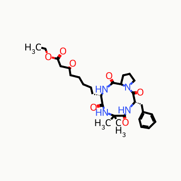 CCOC(=O)CC(=O)CCCCC[C@@H]1NC(=O)C2CCCN2C(=O)[C@H](Cc2ccccc2)NC(=O)C(C)(C)NC1=O